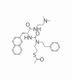 CC(=O)SCCN(CCc1ccccc1)C(=O)N[C@@H](Cc1ccc2ccccc2c1)C(=O)NCCN(C)C